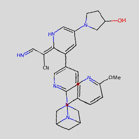 COc1ccc(CN2C3CC2CN(c2ccc(C4=CC(N5CCC(O)C5)=CN/C4=C(/C#N)C=N)cn2)C3)cn1